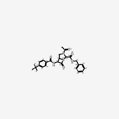 CC(=O)N1CC2C(NC(=O)c3ccc(C(C)(C)C)cc3)C(=O)N2C1C(=O)OCc1ccccc1